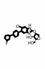 OC[C@H]1OCC(Oc2nc3cc(-c4ccc(-c5cccc(F)c5)cc4)c(Cl)cc3[nH]2)[C@@H]1O